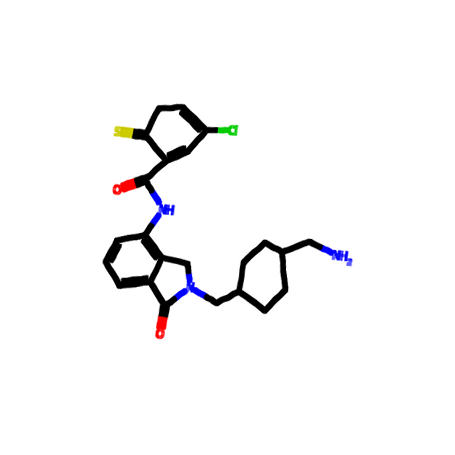 NCC1CCC(CN2Cc3c(NC(=O)C4=CC(Cl)=CCC4=S)cccc3C2=O)CC1